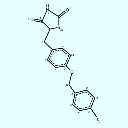 O=C1NC(=O)C(Cc2ccc(OCc3ccc(Cl)cc3)cc2)S1